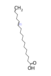 C=CCC/C=C/CCCCCCCCCCC(=O)O